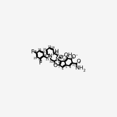 NC(=O)C1=CC2=CC3=C(C2=C(O)C1[O-])[N+]1([O-])C[C@@H]2C=CC=C[N@@+]2(Cc2ccc(F)cc2F)CC1O3